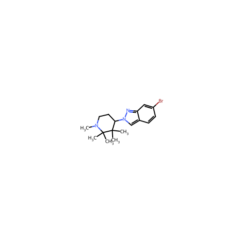 CN1CCC(n2cc3ccc(Br)cc3n2)C(C)(C)C1(C)C